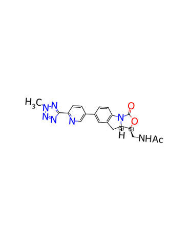 CC(=O)NC[C@@H]1OC(=O)N2c3ccc(-c4ccc(-c5nnn(C)n5)nc4)cc3C[C@@H]12